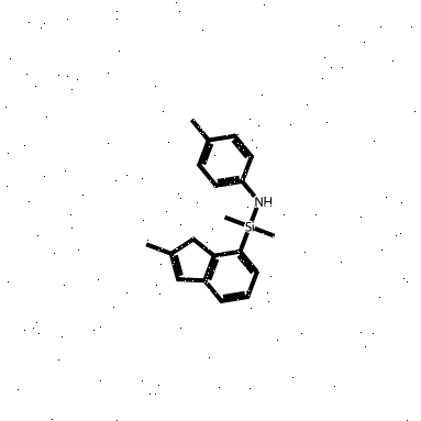 CC1=Cc2cccc([Si](C)(C)Nc3ccc(C)cc3)c2C1